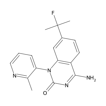 Cc1ncccc1-n1c(=O)nc(N)c2ccc(C(C)(C)F)cc21